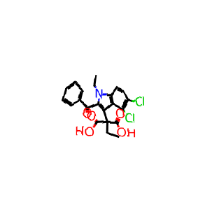 CCn1c(C(=O)c2ccccc2)c(C(CC)(C(=O)O)C(=O)O)c2c(Cl)c(Cl)ccc21